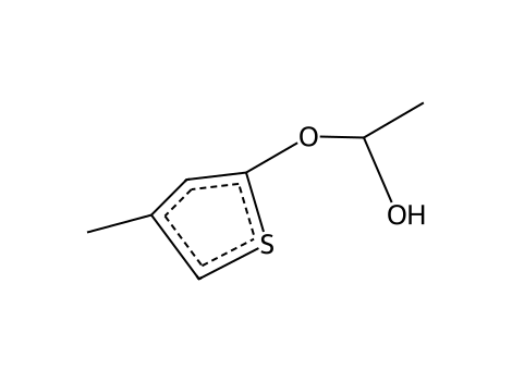 Cc1csc(OC(C)O)c1